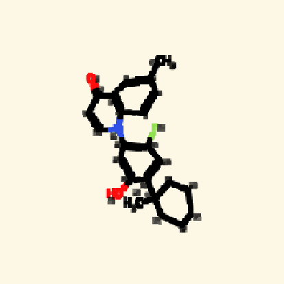 Cc1ccc2c(c1)c(=O)ccn2-c1cc(O)c(C2(C)CCCCC2)cc1F